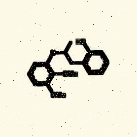 COc1cccc(OC(C)Cc2ccccc2O)c1OC